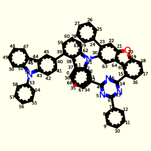 c1ccc(-c2nc(-c3ccccc3)nc(-c3cccc4oc5cc(-c6ccccc6)c(-n6c7ccccc7c7c(-c8ccc9c(c8)c8ccccc8n9-c8ccccc8)cccc76)cc5c34)n2)cc1